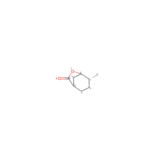 C[C@@H]1CCC2CC1OC2=O